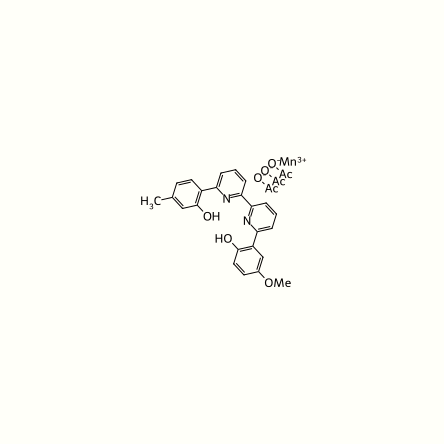 CC(=O)[O-].CC(=O)[O-].CC(=O)[O-].COc1ccc(O)c(-c2cccc(-c3cccc(-c4ccc(C)cc4O)n3)n2)c1.[Mn+3]